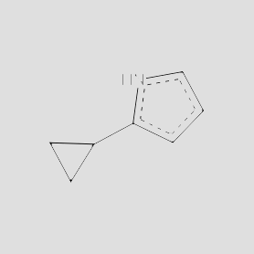 c1c[nH]c(C2CC2)c1